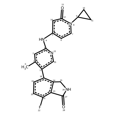 Cc1cc(Nc2ccn(C3CC3)c(=O)c2)ncc1-c1ccc(F)c2c1CNC2=O